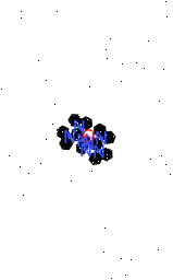 O=c1n(-c2cc(-n3c4ccccc4c4ccccc43)cc(-n3c4ccccc4c4ccccc43)c2)c2cccnc2n1-c1cc(-n2c3ccccc3c3ccccc32)cc(-n2c3ccccc3c3ccccc32)c1